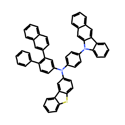 c1ccc(-c2ccc(N(c3ccc(-n4c5ccccc5c5cc6ccccc6cc54)cc3)c3ccc4sc5ccccc5c4c3)cc2-c2ccc3ccccc3c2)cc1